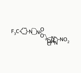 C[C@](O)(COC(=O)N1CCN(c2ccc(C(F)(F)F)cc2)CC1)Cn1cc([N+](=O)[O-])nc1Cl